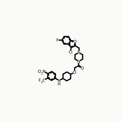 O=C(COC1CCC(Nc2ccc([N+](=O)[O-])c(C(F)(F)F)c2)CC1)N1CCN(Cc2oc3ccc(F)cc3c2Cl)CC1